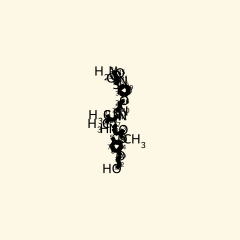 COC(=O)[C@H](Cc1ccc(OCCO)cc1)NC[C@H](C(C)C)n1cc(COc2ccc3nc(S(N)(=O)=O)sc3c2)nn1